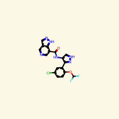 O=C(Nc1c[nH]nc1-c1cc(Cl)ccc1OC(F)F)c1cncc2cn[nH]c12